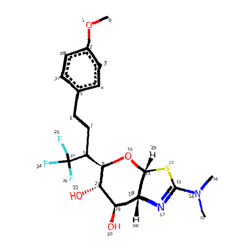 COc1ccc(CCC([C@H]2O[C@@H]3SC(N(C)C)=N[C@@H]3[C@@H](O)[C@@H]2O)C(F)(F)F)cc1